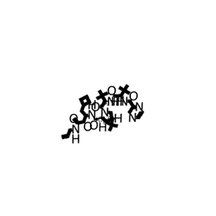 C=CCNC(=O)C(=O)C(CC1CCC1)NC(=O)[C@@H]1[C@@H]2[C@H](CN1C(=O)[C@@H](NC(=O)[C@@H](NC(=O)c1cnccn1)C(C)(C)C)C(C)(C)C)C2(C)C